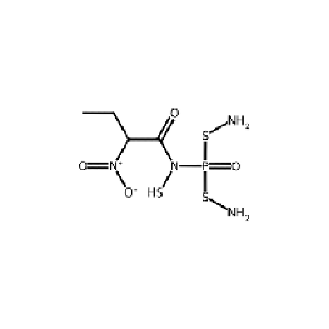 CCC(C(=O)N(S)P(=O)(SN)SN)[N+](=O)[O-]